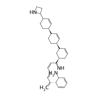 C=C(/C=C/C=C\C(=N)[C@@H]1CC=CC([C@@H]2C=CC([C@@H]3C=CC(C4CCN4)CC3)CC2)C1)[C@H]1C=CC=CC1N